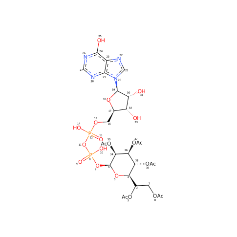 CC(=O)OCC(OC(C)=O)[C@H]1O[C@@H](OP(=O)(O)OP(=O)(O)OC[C@H]2O[C@@H](n3cnc4c(O)ncnc43)[C@H](O)[C@@H]2O)[C@@H](OC(C)=O)[C@@H](OC(C)=O)[C@@H]1OC(C)=O